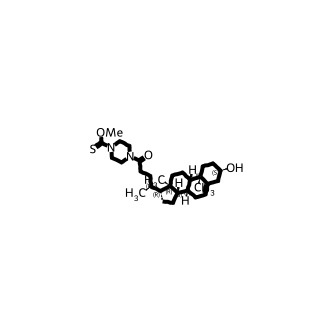 COC(=S)N1CCN(C(=O)CC[C@@H](C)[C@H]2CC[C@H]3[C@@H]4CC=C5C[C@@H](O)CC[C@]5(C)[C@H]4CC[C@]23C)CC1